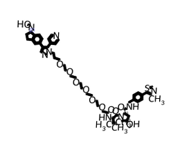 Cc1ncsc1-c1ccc(CNC(=O)[C@@H]2C[C@@H](O)CN2C(=O)[C@@H](NC(=O)COCCOCCOCCOCCOCCOCCCn2ncc(-c3ccc4c(c3)CC/C4=N\O)c2-c2ccncc2)C(C)(C)C)cc1